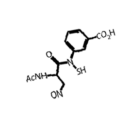 CC(=O)NC(CN=O)C(=O)N(S)c1cccc(C(=O)O)c1